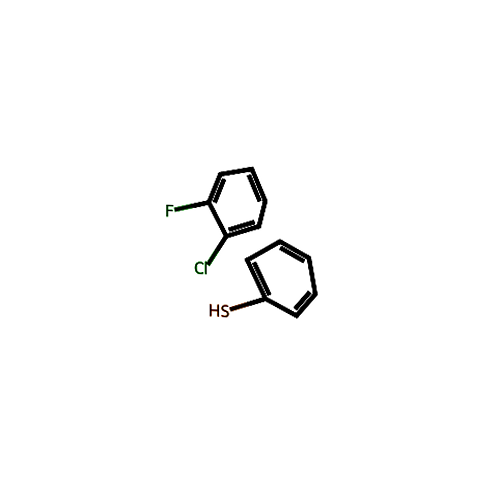 Fc1ccccc1Cl.Sc1ccccc1